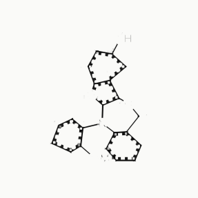 COc1ccccc1N1c2ccccc2COc2c1oc1ccc(C)cc21